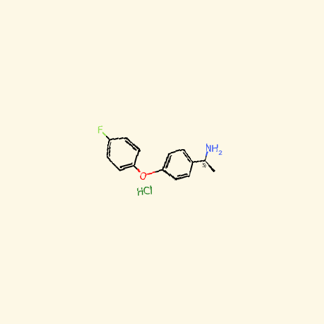 C[C@H](N)c1ccc(Oc2ccc(F)cc2)cc1.Cl